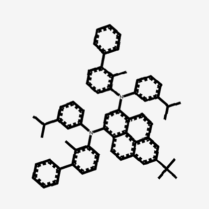 Cc1c(-c2ccccc2)cccc1N(c1cccc(C(C)C)c1)c1cc(N(c2cccc(C(C)C)c2)c2cccc(-c3ccccc3)c2C)c2ccc3cc(C(C)(C)C)cc4ccc1c2c43